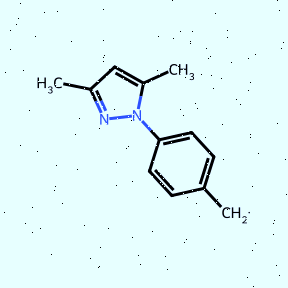 [CH2]c1ccc(-n2nc(C)cc2C)cc1